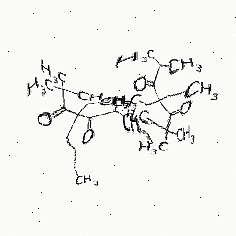 CCC(CC)(C(=O)C(C)C)C(=O)C(C)(C)C.CCCCC(CC)(C(=O)C(C)C)C(=O)C(C)(C)C